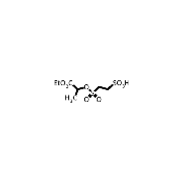 CCOC(=O)C(C)OS(=O)(=O)CCS(=O)(=O)O